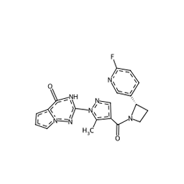 Cc1c(C(=O)N2CC[C@H]2c2ccc(F)nc2)cnn1-c1nn2cccc2c(=O)[nH]1